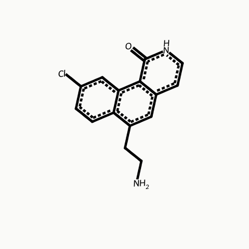 NCCc1cc2cc[nH]c(=O)c2c2cc(Cl)ccc12